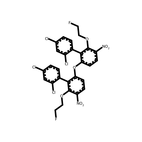 O=[N+]([O-])c1ccc(Oc2ccc([N+](=O)[O-])c(OCCF)c2-c2ccc(Cl)cc2Cl)c(-c2ccc(Cl)cc2Cl)c1OCCF